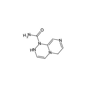 NC(=O)N1NC=CN2CC=NC=C21